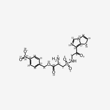 NC(CS(=O)(=O)NCC(=O)c1ncn2ccsc12)C(=O)OCc1ccc([N+](=O)[O-])cc1